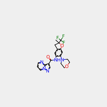 CC1(C(F)(F)F)Cc2cc(NC(=O)c3cnn4cccnc34)c(N3CCOCC3)cc2O1